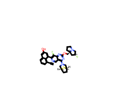 C#Cc1cccc2cc(O)cc(-c3ncc4c(N5C[C@H]6CC[C@@H](C5)S6)nc(OC[C@@]56CCCN5C[C@H](F)C6)nc4c3F)c12